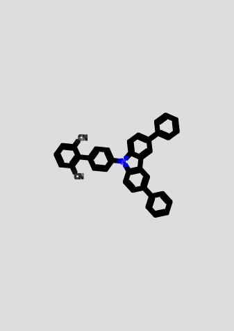 N#Cc1cccc(C#N)c1-c1ccc(-n2c3ccc(-c4ccccc4)cc3c3cc(-c4ccccc4)ccc32)cc1